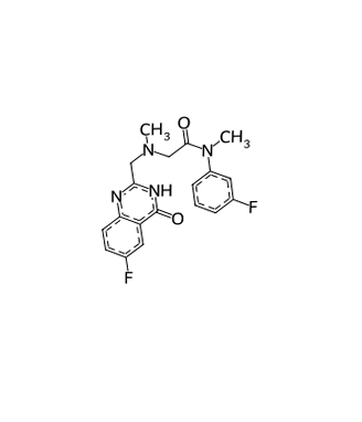 CN(CC(=O)N(C)c1cccc(F)c1)Cc1nc2ccc(F)cc2c(=O)[nH]1